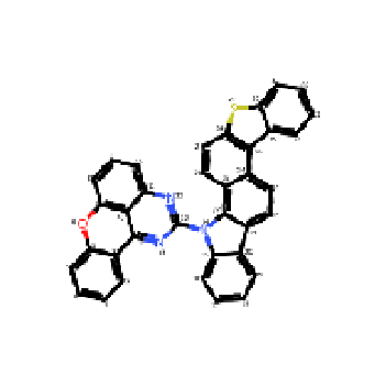 c1ccc2c(c1)Oc1cccc3nc(-n4c5ccccc5c5ccc6c(ccc7sc8ccccc8c76)c54)nc-2c13